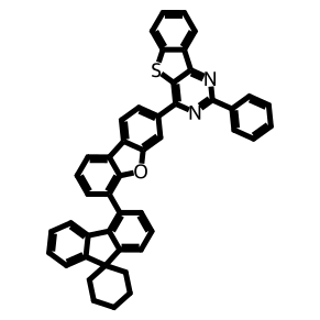 c1ccc(-c2nc(-c3ccc4c(c3)oc3c(-c5cccc6c5-c5ccccc5C65CCCCC5)cccc34)c3sc4ccccc4c3n2)cc1